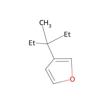 CCC(C)(CC)c1ccoc1